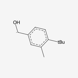 Cc1cc([CH]O)ccc1C(C)(C)C